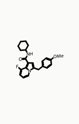 COc1ccc(Cc2cc(C(=O)NC3CCCCC3)c3c(F)cccn23)cc1